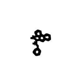 CN(Cc1ccccc1)C1c2cc3ccccc3c3cccc(c23)N1C